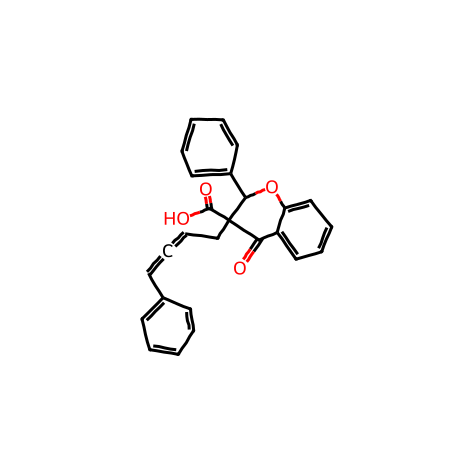 O=C(O)C1(CC=C=Cc2ccccc2)C(=O)c2ccccc2OC1c1ccccc1